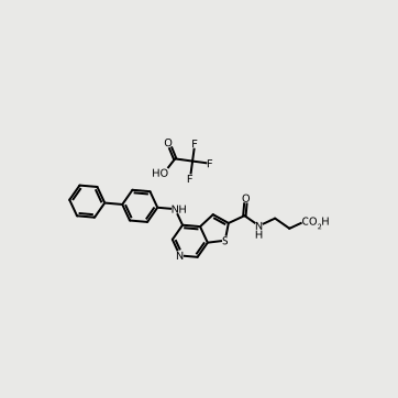 O=C(O)C(F)(F)F.O=C(O)CCNC(=O)c1cc2c(Nc3ccc(-c4ccccc4)cc3)cncc2s1